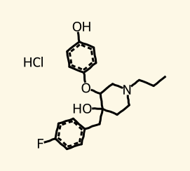 CCCN1CCC(O)(Cc2ccc(F)cc2)C(Oc2ccc(O)cc2)C1.Cl